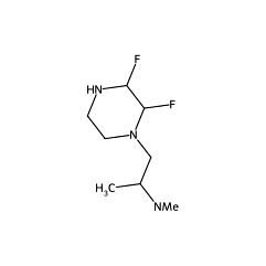 CNC(C)CN1CCNC(F)C1F